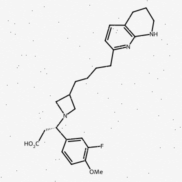 COc1ccc([C@H](CC(=O)O)N2CC(CCCCc3ccc4c(n3)NCCC4)C2)cc1F